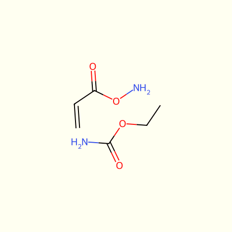 C=CC(=O)ON.CCOC(N)=O